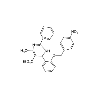 CCOC(=O)C1=C(C)N=C(c2ccccc2)NC1c1ccccc1OCc1ccc([N+](=O)[O-])cc1